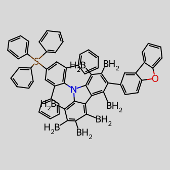 Bc1c(B)c(B)c2c(c1B)c1c(B)c(-c3ccc4oc5ccccc5c4c3)c(B)c(B)c1n2-c1c(-c2ccccc2)cc(S(c2ccccc2)(c2ccccc2)c2ccccc2)cc1-c1ccccc1